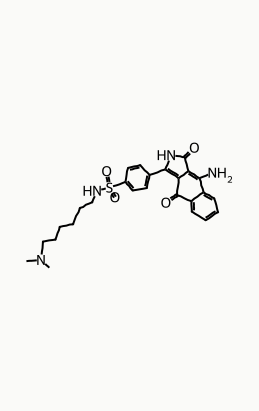 CN(C)CCCCCCNS(=O)(=O)c1ccc(C2=C3C(=O)c4ccccc4C(N)=C3C(=O)N2)cc1